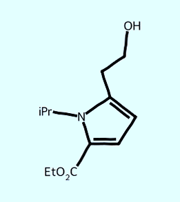 CCOC(=O)c1ccc(CCO)n1C(C)C